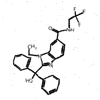 CCn1c(C(O)(c2ccccc2)c2ccccc2)nc2ccc(C(=O)NCC(F)(F)F)cc21